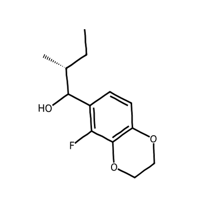 CC[C@@H](C)C(O)c1ccc2c(c1F)OCCO2